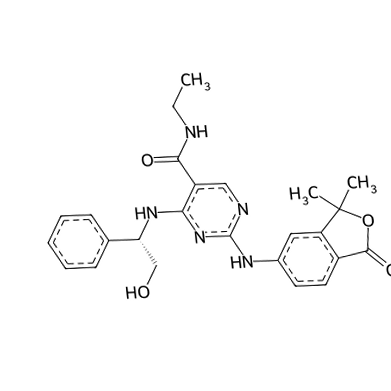 CCNC(=O)c1cnc(Nc2ccc3c(c2)C(C)(C)OC3=O)nc1N[C@H](CO)c1ccccc1